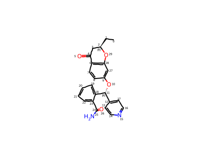 CC[C@@H]1CC(=O)c2ccc(O[C@H](c3ccncc3)c3ccccc3C(N)=O)cc2O1